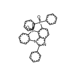 O=P(c1ccccc1)(c1ccccc1)c1ccc2nc(-c3ccccc3)n3c2c1S(=O)(=O)c1ccccc1-3